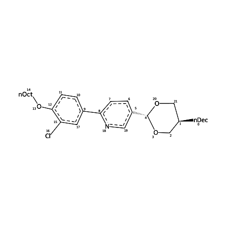 CCCCCCCCCC[C@H]1CO[C@H](c2ccc(-c3ccc(OCCCCCCCC)c(Cl)c3)nc2)OC1